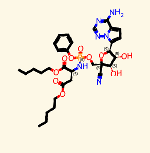 CCCCCOC(=O)C[C@H](N[P@@](=O)(OC[C@@]1(C#N)O[C@@H](c2ccc3c(N)ncnn23)[C@H](O)[C@@H]1O)Oc1ccccc1)C(=O)OCCCCC